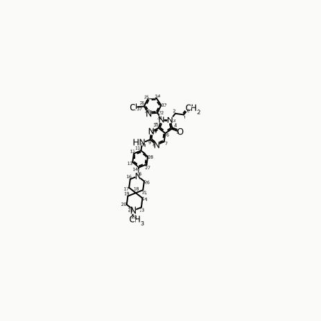 C=CCn1c(=O)c2cnc(Nc3ccc(N4CCC5(CCN(C)CC5)CC4)cc3)nc2n1-c1cccc(Cl)n1